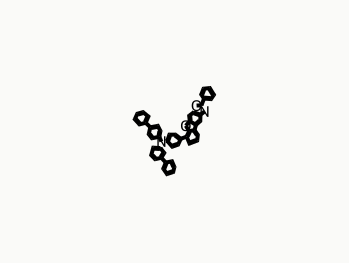 c1ccc(-c2ccc(N(c3ccc(-c4cccc5c4oc4cc6oc(-c7ccccc7)nc6cc45)cc3)c3cccc(-c4ccccc4)c3)cc2)cc1